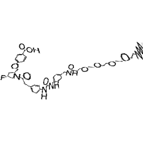 [N-]=[N+]=NCCOCCOCCOCCOCCC(=O)NCc1ccc(NC(=O)Nc2ccc(CC(=O)N3C[C@@H](F)C[C@H]3COc3ccc(C(=O)O)cc3)cc2)cc1